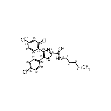 O=C(NCCCCC(F)(F)F)c1nc(-c2ccc(Cl)cc2Cl)c(-c2ccc(Cl)cc2)s1